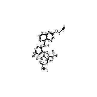 C#CCOc1cnc2c(Nc3cnc(F)c([C@]4(C)C[C@](C)([C@@H](O)C(F)(F)F)SC(N)=N4)c3)nccc2n1